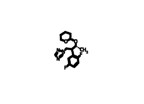 C[C@@H](OC1CCCCO1)C(Cn1cncn1)c1cc(F)ccc1F